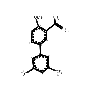 C=C(C)c1cc(-c2cc(C(F)(F)F)cc(C(F)(F)F)c2)ccc1OC